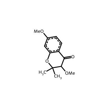 COc1ccc2c(c1)OC(C)(C)C(OC)C2=O